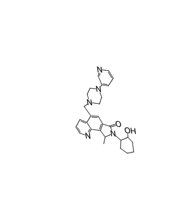 CC1c2c(cc(CN3CCN(c4cccnc4)CC3)c3cccnc23)C(=O)N1C1CCCCC1O